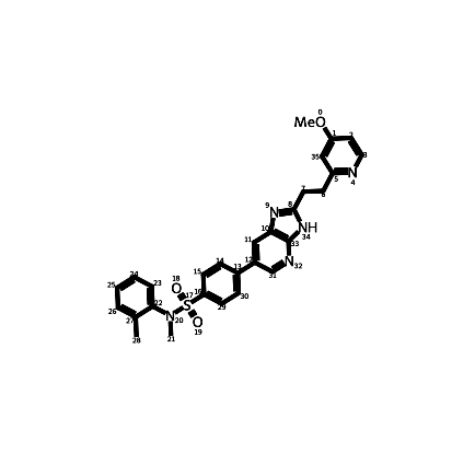 COc1ccnc(CCc2nc3cc(-c4ccc(S(=O)(=O)N(C)c5ccccc5C)cc4)cnc3[nH]2)c1